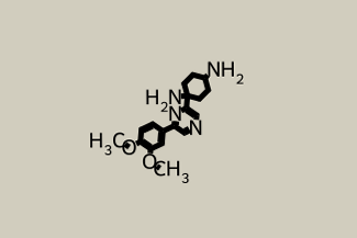 COc1ccc(-c2cncc(C3(N)CCC(N)CC3)n2)cc1OC